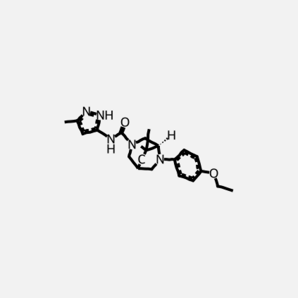 CCOc1ccc(N2CC3CN(C(=O)Nc4cc(C)n[nH]4)C[C@@H]2C(C)(C)C3)cc1